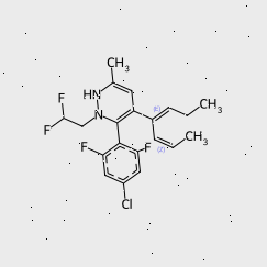 C/C=C\C(=C/CC)C1=C(c2c(F)cc(Cl)cc2F)N(CC(F)F)NC(C)=C1